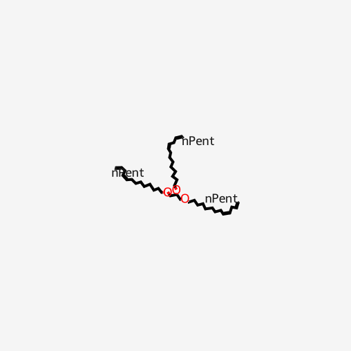 CCCCC/C=C\C/C=C\CCCCCCCCOCC(COCCCCCCCC/C=C\C/C=C\CCCCC)OCCCCCCCC/C=C\C/C=C\CCCCC